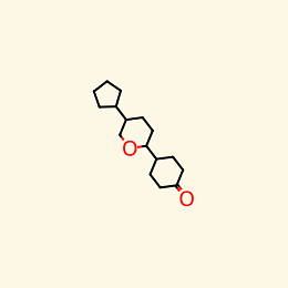 O=C1CCC(C2CCC(C3CCCC3)CO2)CC1